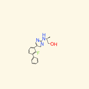 C[C@@H](CO)Nc1ncc(-c2cccc(-c3ccccc3)c2F)cn1